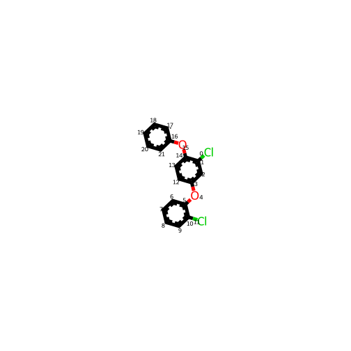 Clc1cc(Oc2ccccc2Cl)ccc1Oc1[c]cccc1